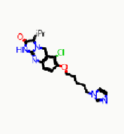 CC(C)C1C(=O)NC2=Nc3ccc(OCCCCCn4ccnc4)c(Cl)c3CN21